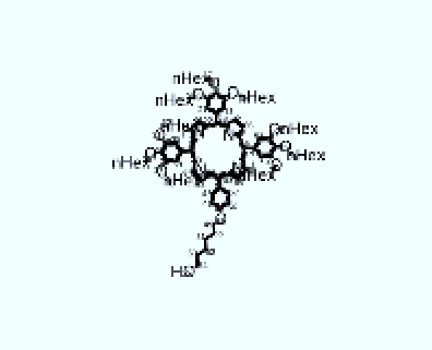 CCCCCCOc1cc(-c2c3nc(c(-c4cc(OCCCCCC)c(OCCCCCC)c(OCCCCCC)c4)c4ccc([nH]4)c(-c4cc(OCCCCCC)c(OCCCCCC)c(OCCCCCC)c4)c4nc(c(-c5ccc(OCCCCCCO)cc5)c5ccc2[nH]5)C=C4)C=C3)cc(OCCCCCC)c1OCCCCCC